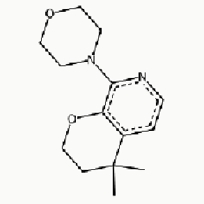 CC1(C)CCOc2c1ccnc2N1CCOCC1